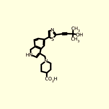 CC(C)(O)C#Cc1ncc(-c2ccc3c(c2)C(CN2CCC(C(=O)O)CC2)=CNC3)s1